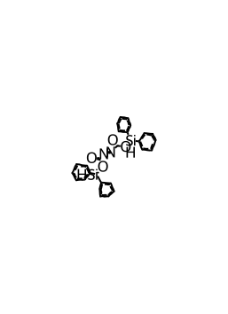 O=C(N=NC(=O)O[SiH](c1ccccc1)c1ccccc1)O[SiH](c1ccccc1)c1ccccc1